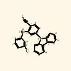 N#Cc1ccc(-n2c3ccccc3c3ccccc32)cc1Nc1cccc(Cl)c1